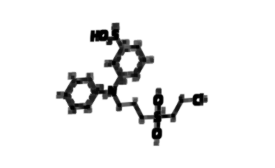 O=S(=O)(CCCl)CCCN(c1cc[c]cc1)c1cccc(S(=O)(=O)O)c1